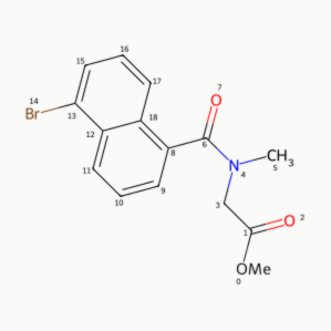 COC(=O)CN(C)C(=O)c1cccc2c(Br)cccc12